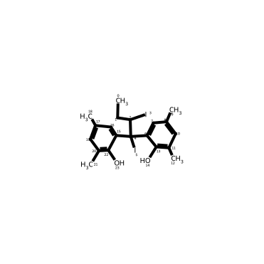 CCC(I)C(I)(c1cc(C)cc(C)c1O)c1cc(C)cc(C)c1O